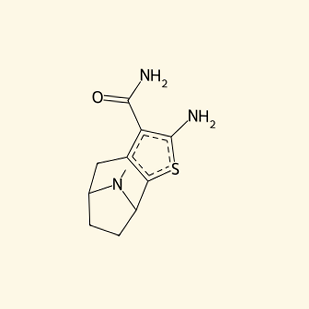 CN1C2CCC1c1sc(N)c(C(N)=O)c1C2